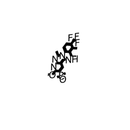 COc1nc2nc(C)nc(N[C@H](C)c3cccc(C(F)(F)F)c3C)c2cc1P(C)(C)=O